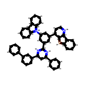 c1ccc(-c2cccc(-c3cc(-c4ccccc4)nc(-c4cc(-c5ccnc6c5sc5ccccc56)cc(-n5c6ccccc6c6ccccc65)c4)n3)c2)cc1